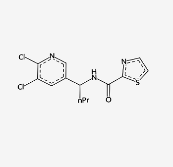 CCCC(NC(=O)c1nccs1)c1cnc(Cl)c(Cl)c1